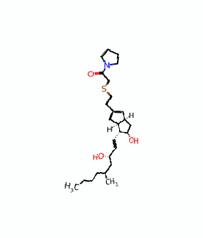 CCCC[C@H](C)C[C@H](O)/C=C/[C@@H]1[C@H]2CC(CCSCC(=O)N3CCCC3)=C[C@H]2C[C@H]1O